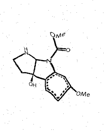 COC(=O)N1c2cc(OC)ccc2[C@]2(O)CCNC12